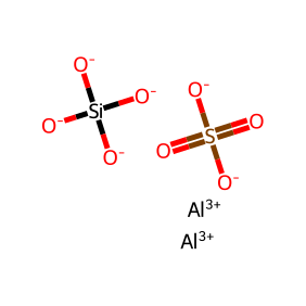 O=S(=O)([O-])[O-].[Al+3].[Al+3].[O-][Si]([O-])([O-])[O-]